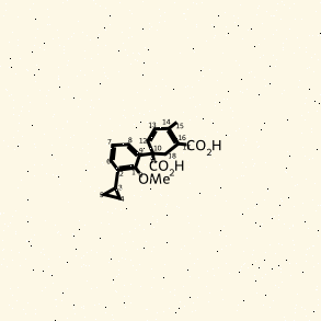 COc1c(C2CC2)cccc1C1(C(=O)O)C=CC(C)=C(C(=O)O)C1